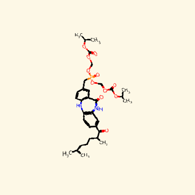 CC(C)CCCC(C)C(=O)c1ccc2c(c1)NC(=O)c1cc(CP(=O)(OCOC(=O)OC(C)C)OCOC(=O)OC(C)C)ccc1N2